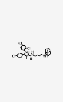 Cc1c(C(=O)NCCCCNC2C3CC4CC(C3)CC2C4)nn(-c2ccc(Cl)cc2Cl)c1-c1ccc(Cl)cc1